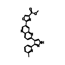 COC(=O)c1coc(-c2cnc3ccc(-c4c[nH]nc4-c4cccc(C)n4)nc3c2)n1